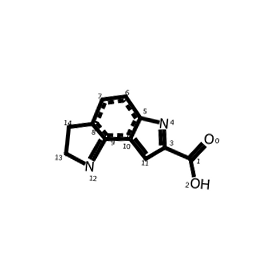 O=C(O)C1=Nc2ccc3c(c2=C1)=NCC3